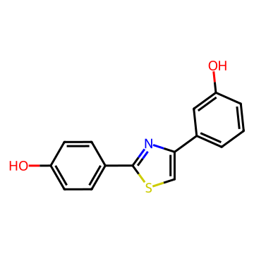 Oc1ccc(-c2nc(-c3cccc(O)c3)cs2)cc1